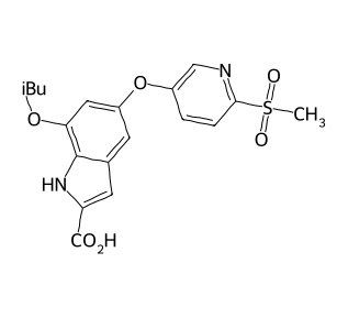 CCC(C)Oc1cc(Oc2ccc(S(C)(=O)=O)nc2)cc2cc(C(=O)O)[nH]c12